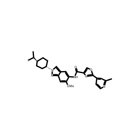 COc1cc2nn([C@H]3CC[C@H](C(C)I)CC3)cc2cc1NC(=O)c1coc(-c2ccnc(C)c2)n1